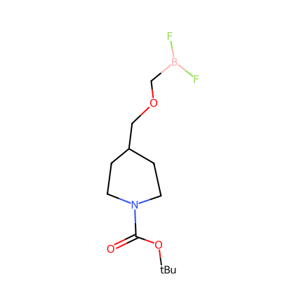 CC(C)(C)OC(=O)N1CCC(COCB(F)F)CC1